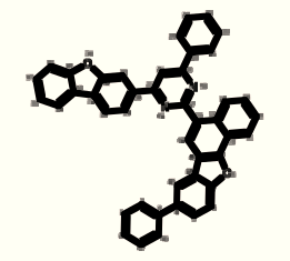 c1ccc(-c2ccc3oc4c5ccccc5c(-c5nc(-c6ccccc6)cc(-c6ccc7c(c6)oc6ccccc67)n5)cc4c3c2)cc1